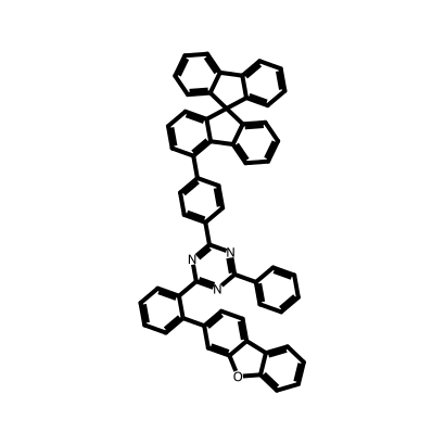 c1ccc(-c2nc(-c3ccc(-c4cccc5c4-c4ccccc4C54c5ccccc5-c5ccccc54)cc3)nc(-c3ccccc3-c3ccc4c(c3)oc3ccccc34)n2)cc1